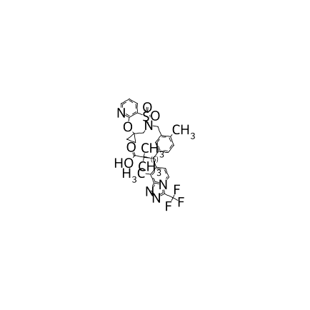 Cc1ccc([C@@H](c2ccn3c(C(F)(F)F)nnc3c2C)C(C)(C)C(=O)O)cc1CN1CC2(CC2)Oc2ncccc2S1(=O)=O